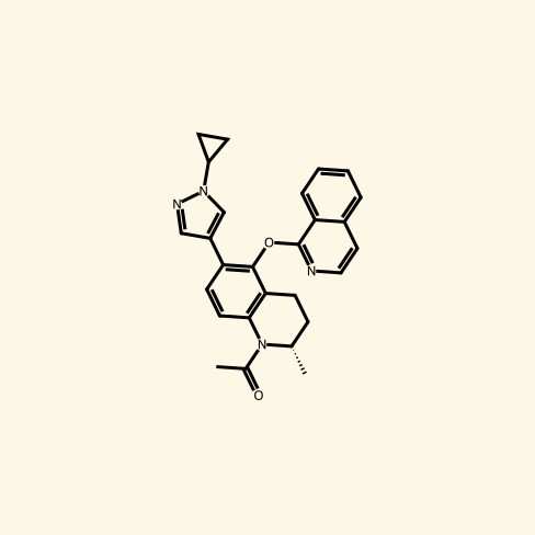 CC(=O)N1c2ccc(-c3cnn(C4CC4)c3)c(Oc3nccc4ccccc34)c2CC[C@@H]1C